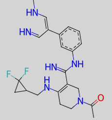 CN/C=C(\C=N)c1cccc(NC(=N)C2=C(NCC3CC3(F)F)CCN(C(C)=O)C2)c1